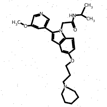 COc1cncc(-c2cc3cc(OCCCN4CCCCC4)ccc3n2CC(=O)NC(C)C)c1